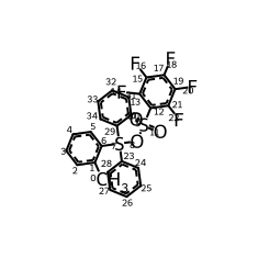 Cc1ccccc1S(OS(=O)(=O)c1c(F)c(F)c(F)c(F)c1F)(c1ccccc1)c1ccccc1